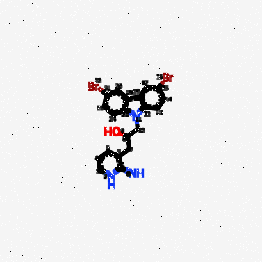 N=c1[nH]cccc1CC(O)Cn1c2ccc(Br)cc2c2cc(Br)ccc21